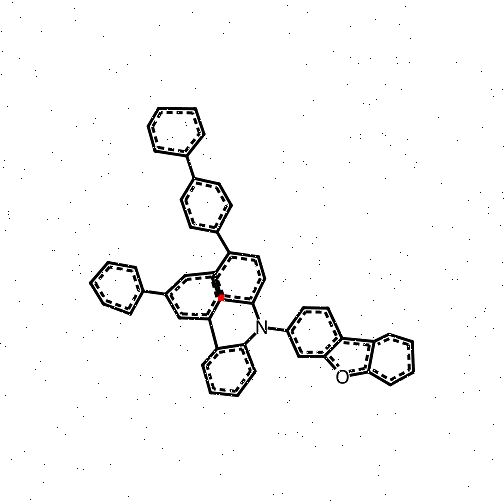 c1ccc(-c2ccc(-c3ccc(N(c4ccc5c(c4)oc4ccccc45)c4ccccc4-c4cccc(-c5ccccc5)c4)cc3)cc2)cc1